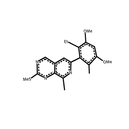 CCc1c(OC)cc(OC)c(C)c1-c1cc2cnc(SC)nc2c(C)n1